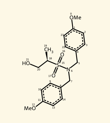 COc1ccc(CN(Cc2ccc(OC)cc2)S(=O)(=O)[C@H](C)CO)cc1